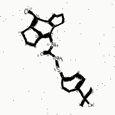 CC(C)(O)c1ccc(SNC(=O)Nc2c3c(c(Cl)c4c2CCC4)CCC3)cc1